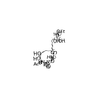 CC[C@H]1C[C@H](C)[C@@]2(NC1=O)O[C@@H](C[C@H](O)[C@@H](C)CC/C=C/C=C(\C)[C@@H]1C/C=C/C=C/[C@H](O)[C@H](C)[C@@H](O)[C@@H](CCC(C)=O)C(=O)N[C@@H](C(C)C)C(=O)N[C@@H](Cc3ccccc3)C(=O)N3CCCC(N3)C(=O)O1)[C@H](C)[C@H](O)[C@@H]2C